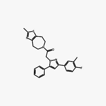 Cc1nc2c(s1)CCN(C(=O)Cn1nc(-c3ccc(F)c(C)c3)cc1-c1ccccc1)CC2